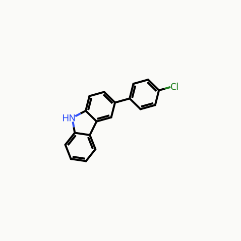 Clc1ccc(-c2ccc3[nH]c4ccccc4c3c2)cc1